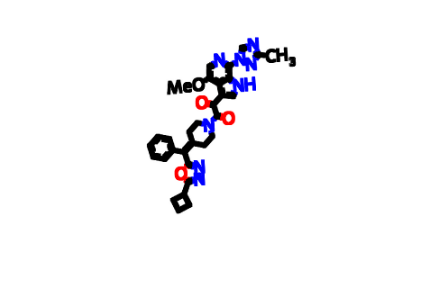 COc1cnc(-n2cnc(C)n2)c2[nH]cc(C(=O)C(=O)N3CCC(=C(c4ccccc4)c4nnc(C5CCC5)o4)CC3)c12